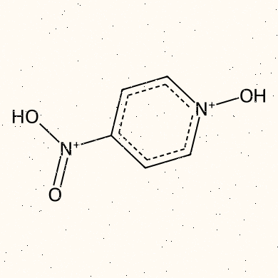 O=[N+](O)c1cc[n+](O)cc1